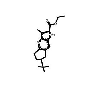 CCOC(=O)c1[nH]c2cc3c(nc2c1C)CCC(C(C)(C)C)C3